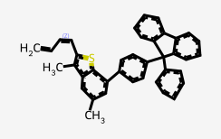 C=C/C=C\c1sc2c(-c3ccc(C4(c5ccccc5)c5ccccc5-c5ccccc54)cc3)cc(C)cc2c1C